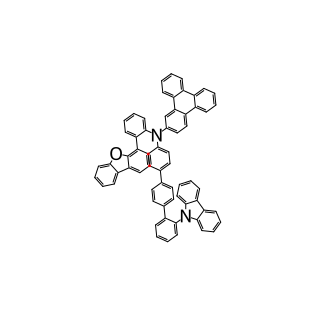 c1ccc(N(c2ccc(-c3ccc(-c4ccccc4-n4c5ccccc5c5ccccc54)cc3)cc2)c2ccc3c4ccccc4c4ccccc4c3c2)c(-c2cccc3c2oc2ccccc23)c1